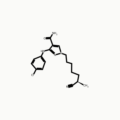 C[C@@H](C#N)CCCCCn1cc(C(N)=O)c(Nc2ccc(Cl)cc2)n1